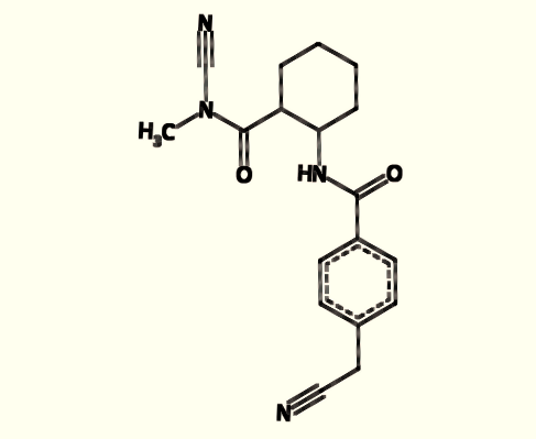 CN(C#N)C(=O)C1CCCCC1NC(=O)c1ccc(CC#N)cc1